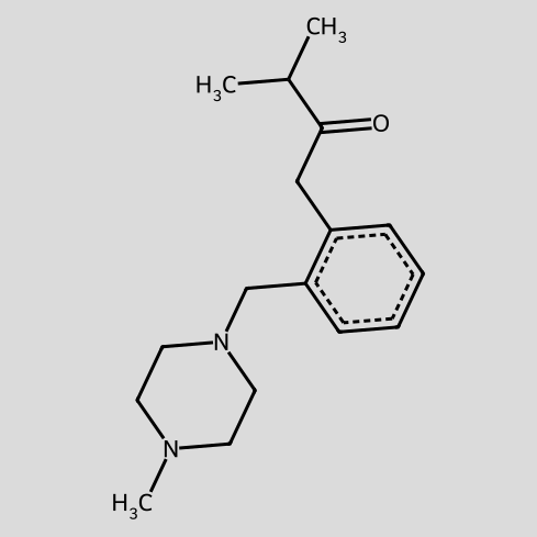 CC(C)C(=O)Cc1ccccc1CN1CCN(C)CC1